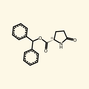 O=C1CC[C@@H](C(=O)OC(c2ccccc2)c2ccccc2)N1